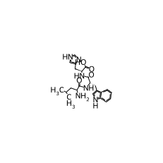 CC(C)C[C@H](N)C(=O)N[C@@H](Cc1c[nH]c2ccccc12)C(=O)N[C@@H](Cc1c[nH]cn1)C(=O)O